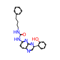 O=C(NCCCCc1ccccc1)Nc1ccc2ncc(-c3ccccc3O)nc2n1